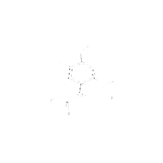 COc1cc(OC)c(NC(=N)SC)cc1Cl.I